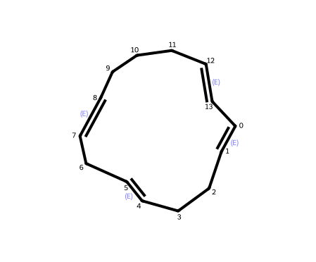 C1=C/CC/C=C/C/C=C/CCC/C=C/1